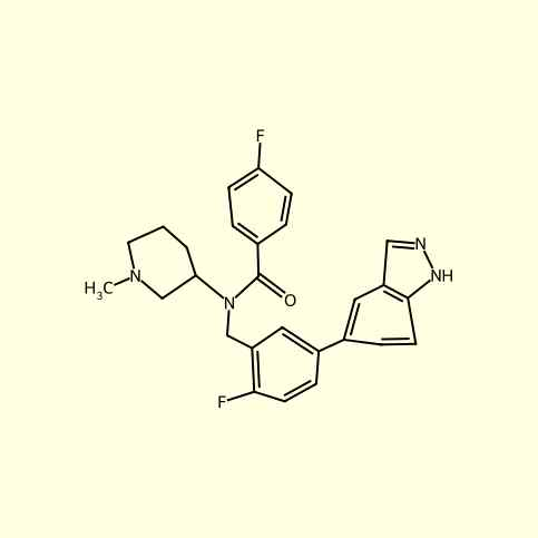 CN1CCCC(N(Cc2cc(-c3ccc4[nH]ncc4c3)ccc2F)C(=O)c2ccc(F)cc2)C1